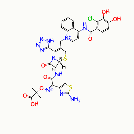 CC(C)(O/N=C(\C(=O)N[C@@H]1C(=O)N2C(c3nnn[nH]3)=C(C[n+]3ccc(NC(=O)c4ccc(O)c(O)c4Cl)c4ccccc43)CS[C@H]12)c1csc(N)n1)C(=O)O